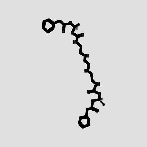 C[C@H](OC(=O)Cc1ccccc1)OC(=O)NCCNCCNCCNC(=O)O[C@H](C)OC(=O)Cc1ccccc1